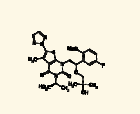 COc1ccc(F)cc1[C@H](Cn1c(=O)n([C@@H](C)C(=O)O)c(=O)c2c(C)c(-n3nccn3)sc21)OCC(C)(C)O